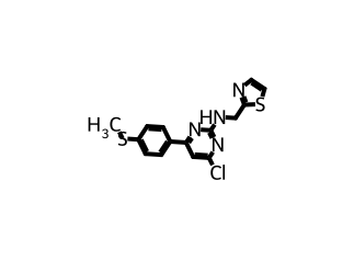 CSc1ccc(-c2cc(Cl)nc(NCc3nccs3)n2)cc1